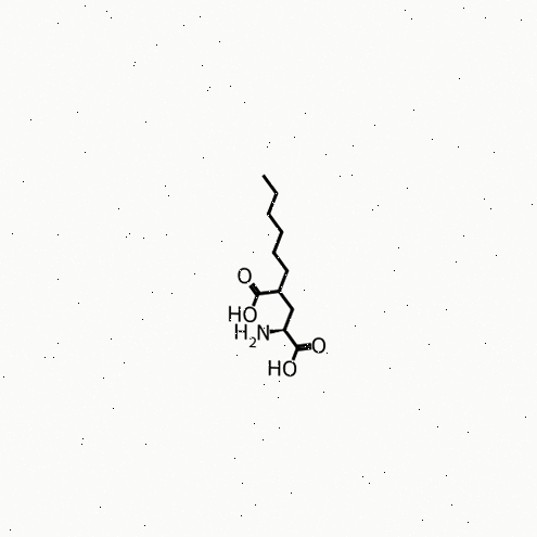 CCCCCCC(C[C@H](N)C(=O)O)C(=O)O